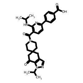 CC(C)Nc1nc(-c2ccc(C(=O)O)cc2)ccc1C(=O)N1CCC2(CC1)CC(=O)c1c(cnn1C(C)C)C2